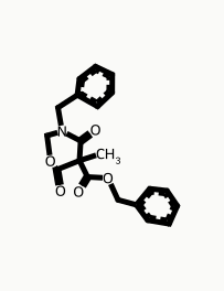 CC1(C(=O)OCc2ccccc2)C(=O)OCN(Cc2ccccc2)C1=O